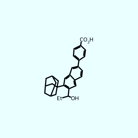 CCC(O)c1cc2ccc(-c3ccc(C(=O)O)cc3)cc2cc1C12CC3CC(CC(C3)C1)C2